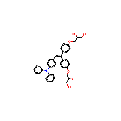 OCC(O)COc1ccc(C(=Cc2ccc(N(c3ccccc3)c3ccccc3)cc2)c2ccc(OCC(O)CO)cc2)cc1